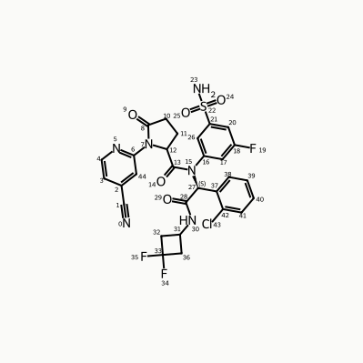 N#Cc1ccnc(N2C(=O)CCC2C(=O)N(c2cc(F)cc(S(N)(=O)=O)c2)[C@H](C(=O)NC2CC(F)(F)C2)c2ccccc2Cl)c1